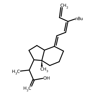 C=C/C(=C\C=C1/CCC[C@@]2(C)C1CCC2C(C)C(=C)O)CCCC